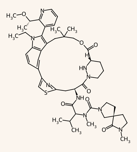 CCn1c(-c2cccnc2[C@H](C)OC)c2c3cc(ccc31)-c1csc(n1)C[C@H](NC(=O)C(C(C)C)N(C)C(=O)N1CC[C@]3(CCN(C)C3=O)C1)C(=O)N1CCC[C@H](N1)C(=O)OCC(C)(C)C2